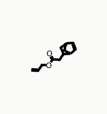 C=CCOC(=O)CC1CC2C=CC1C2